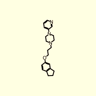 c1cncc(N2CCN(CCCOc3ccc4c(c3)CCC4)CC2)c1